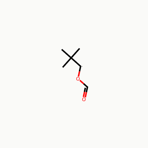 CC(C)(C)[CH]OC=O